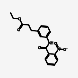 CCOC(=O)CCc1cccc(NC(=O)c2ccccc2[N+](=O)[O-])c1